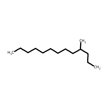 [CH2]CCC(C)CCCCCCCCC